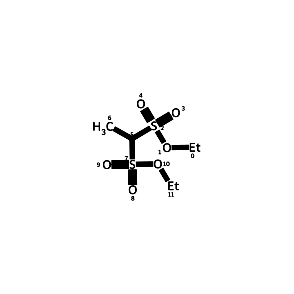 CCOS(=O)(=O)C(C)S(=O)(=O)OCC